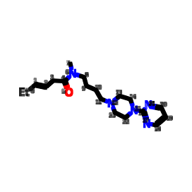 CCC=CCC(=O)N(C)CCCCN1CCN(c2ncccn2)CC1